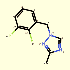 [CH2]c1ncn(Cc2cccc(F)c2F)n1